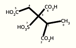 CC(C(=O)O)C(CC(=O)O)(C(=O)O)S(=O)(=O)O